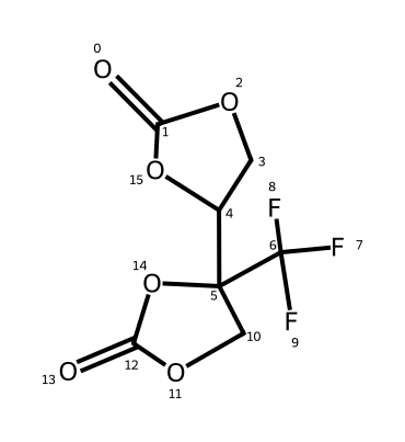 O=C1OCC(C2(C(F)(F)F)COC(=O)O2)O1